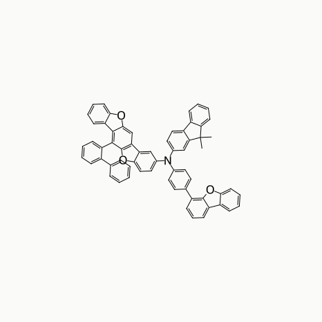 CC1(C)c2ccccc2-c2ccc(N(c3ccc(-c4cccc5c4oc4ccccc45)cc3)c3ccc4oc5c(-c6ccccc6-c6ccccc6)c6c(cc5c4c3)oc3ccccc36)cc21